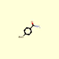 CC(C)COc1ccc(C(N)=O)cc1